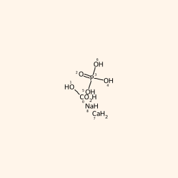 O=C(O)O.O=P(O)(O)O.[CaH2].[NaH]